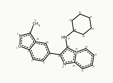 Cc1noc2ccc(-c3nc4ccccn4c3NC3CCCCC3)cc12